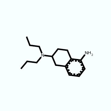 CCCN(CCC)C1CCc2c(N)cccc2C1